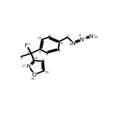 CC(F)(c1ccc(CN=[N+]=[N-])cc1)c1ccon1